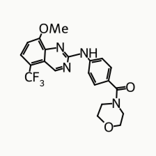 COc1ccc(C(F)(F)F)c2cnc(Nc3ccc(C(=O)N4CCOCC4)cc3)nc12